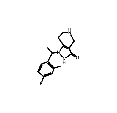 Cc1cc(F)ccc1C(C)n1[nH]c(=O)c2c1CCNC2